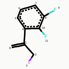 C=C(CI)c1cccc(F)c1F